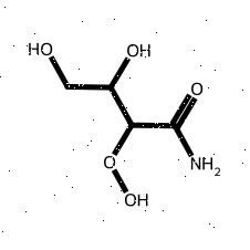 NC(=O)C(OO)C(O)CO